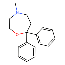 CN1CCOC(c2ccccc2)(c2ccccc2)CC1